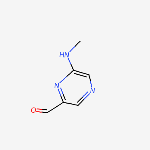 CNc1cncc(C=O)n1